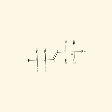 FC(F)(F)C(F)(F)C=CC(F)(F)C(F)(F)F